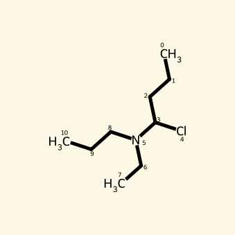 CCCC(Cl)N(CC)CCC